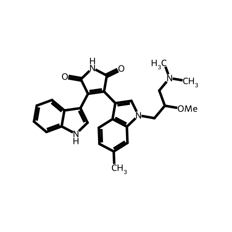 COC(CN(C)C)Cn1cc(C2=C(c3c[nH]c4ccccc34)C(=O)NC2=O)c2ccc(C)cc21